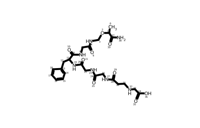 CC(OCNC(=O)CNC(=O)C(Cc1ccccc1)NC(=O)CNC(=O)CNC(=O)CCNCC(=O)O)C(N)=O